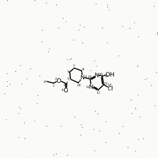 CCOC(=O)[C@@H]1CCCN(c2ncc(Cl)c(O)n2)C1